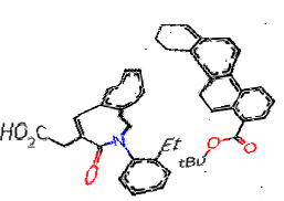 CC(C)(C)OC(=O)c1cccc2c1=CCc1c3c(ccc1=2)=CCCC3.CCc1ccccc1N1Cc2ccccc2C=C(CC(=O)O)C1=O